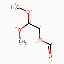 COC(CO[C]=O)OC